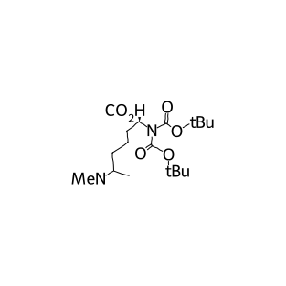 CNC(C)CCC[C@@H](C(=O)O)N(C(=O)OC(C)(C)C)C(=O)OC(C)(C)C